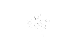 Cc1nnn(C)c1-c1cnc2c3c(NCC(F)(F)F)ncc(S(C)(=O)=O)c3n([C@H](c3ncccc3F)C3CCOCC3)c2c1